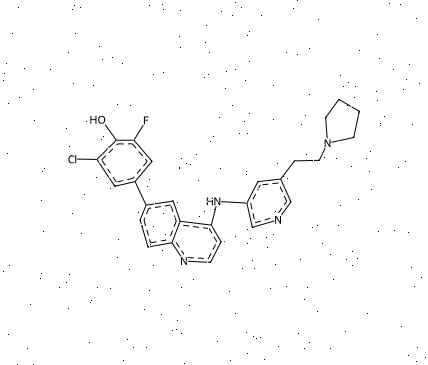 Oc1c(F)cc(-c2ccc3nc[c]c(Nc4cncc(CCN5CCCC5)c4)c3c2)cc1Cl